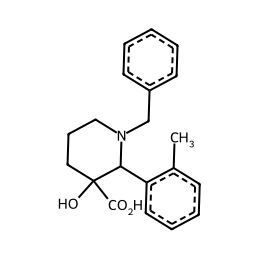 Cc1ccccc1C1N(Cc2ccccc2)CCCC1(O)C(=O)O